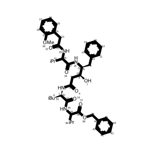 CC[C@H](C)[C@H](NC(=O)C[C@H](O)[C@H](Cc1ccccc1)NC(=O)C(NC(=O)Cc1ccccc1OC)C(C)C)C(=O)NC(C(=O)OCc1ccccc1)C(C)C